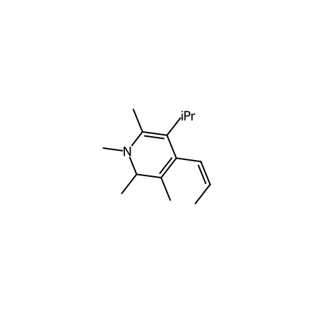 C/C=C\C1=C(C)C(C)N(C)C(C)=C1C(C)C